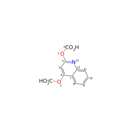 O=C(O)Oc1cc(OC(=O)O)c2ccccc2n1